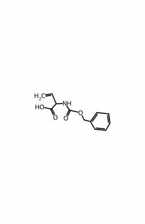 C=CC(NC(=O)OCc1ccccc1)C(=O)O